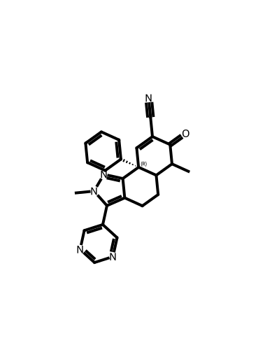 CC1C(=O)C(C#N)=C[C@]2(c3ccccc3)c3nn(C)c(-c4cncnc4)c3CCC12